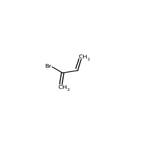 C=CC(=C)Br